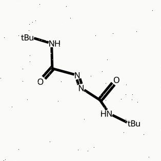 CC(C)(C)NC(=O)N=NC(=O)NC(C)(C)C